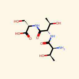 C[C@@H](O)[C@H](N)C(=O)N[C@H](C(=O)N[C@@H](CO)C(=O)O)[C@@H](C)O